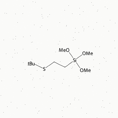 CO[Si](CCSC(C)(C)C)(OC)OC